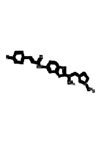 CN1CCC(CN(C)c2nc3ccc(NC(=O)C=Cc4ccc(F)cc4)cc3s2)C1